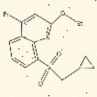 CCOc1cc(C(C)C)c2cccc(S(=O)(=O)CC3CC3)c2n1